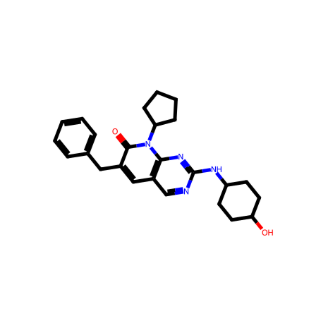 O=c1c(Cc2ccccc2)cc2cnc(NC3CCC(O)CC3)nc2n1C1CCCC1